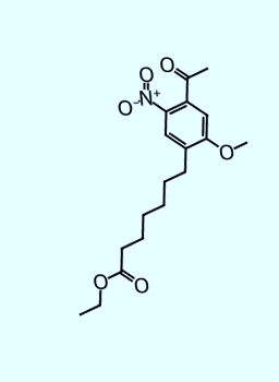 CCOC(=O)CCCCCCc1cc([N+](=O)[O-])c(C(C)=O)cc1OC